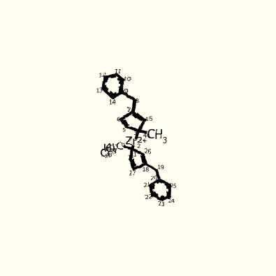 C[C]1([Zr+2][C]2(C)C=CC(Cc3ccccc3)=C2)C=CC(Cc2ccccc2)=C1.[Cl-].[Cl-]